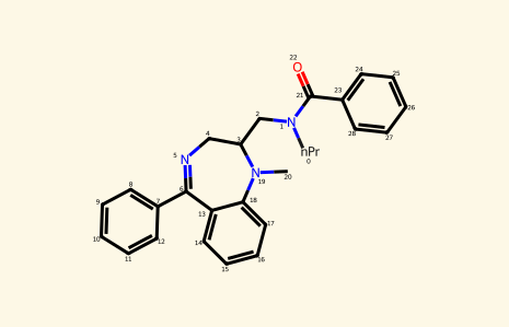 CCCN(CC1CN=C(c2ccccc2)c2ccccc2N1C)C(=O)c1ccccc1